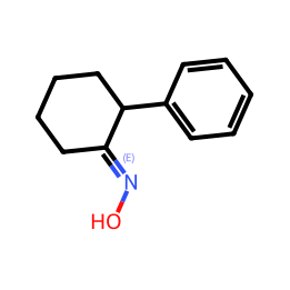 O/N=C1\CCCCC1c1ccccc1